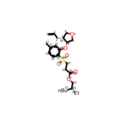 C=CC[C@@H]1COC[C@@H]1Oc1cc(C)ccc1S(=O)(=O)CCC(=O)OC[C@H](CC)CCCC